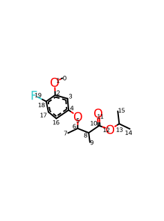 COc1cc(OC(C)C(C)C(=O)OC(C)C)ccc1F